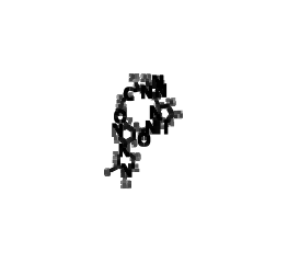 CC1CN(c2cnc3c(c2)C(=O)Nc2cccc(n2)-c2nncn2C(C)CCCO3)CCN1C